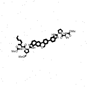 C=C(/C=C\C=C/C)[C@@H](NC(=O)OC)C(=O)N1C[C@@H](COC)C[C@H]1c1nc2ccc3cc4c(cc3c2[nH]1)OCc1cc(-c2ccc3nc([C@@H]5CCCN5C(=O)[C@@H](NC(=O)OC)C(C)C)[nH]c3c2)ccc1-4